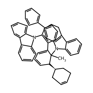 CC1(n2c3c(c4ccccc42)CCC=C3)C(c2cccc(-c3ccccc3)c2-n2c3ccccc3c3ccccc32)=CC=CC1[C@@H]1CC=CCC1